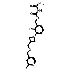 Cc1cc(COCC2CN(c3cccc(COC(=O)NC(=N)N)c3F)C2)ccn1